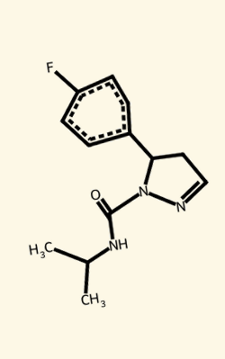 CC(C)NC(=O)N1N=CCC1c1ccc(F)cc1